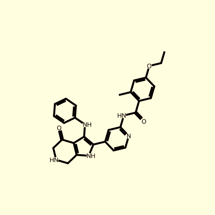 CCOc1ccc(C(=O)Nc2cc(-c3[nH]c4c(c3Nc3ccccc3)C(=O)CNC4)ccn2)c(C)c1